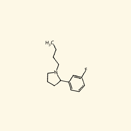 CCCCN1CCCC1c1cccc(F)c1